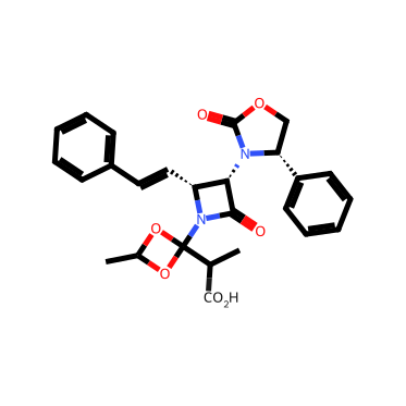 CC1OC(C(C)C(=O)O)(N2C(=O)[C@@H](N3C(=O)OC[C@@H]3c3ccccc3)[C@H]2C=Cc2ccccc2)O1